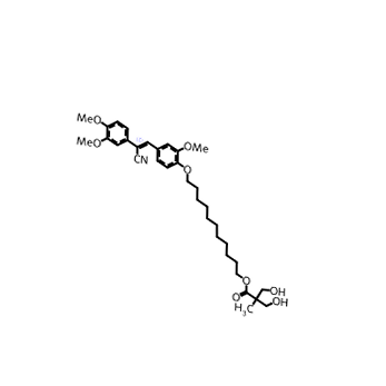 COc1ccc(/C(C#N)=C/c2ccc(OCCCCCCCCCCCOC(=O)C(C)(CO)CO)c(OC)c2)cc1OC